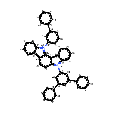 c1ccc(-c2cc(-c3ccccc3)cc(-n3c4ccccc4c4c3ccc3c5ccccc5n(-c5cccc(-c6ccccc6)c5)c34)c2)cc1